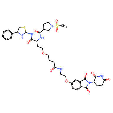 CS(=O)(=O)N1CCC(C(=O)N[C@@H](CCOCCCC(=O)NCCOc2ccc3c(c2)C(=O)N(C2CCC(=O)NC2=O)C3=O)C(=O)NC2NC(c3ccccc3)CS2)C1